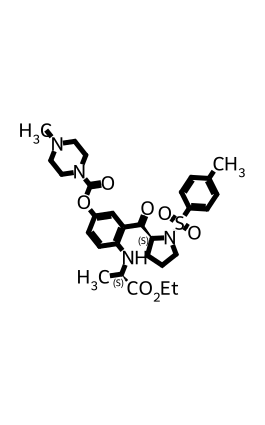 CCOC(=O)[C@H](C)Nc1ccc(OC(=O)N2CCN(C)CC2)cc1C(=O)[C@@H]1CCCN1S(=O)(=O)c1ccc(C)cc1